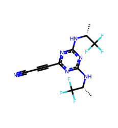 C[C@@H](Nc1nc(C#CC#N)nc(N[C@H](C)C(F)(F)F)n1)C(F)(F)F